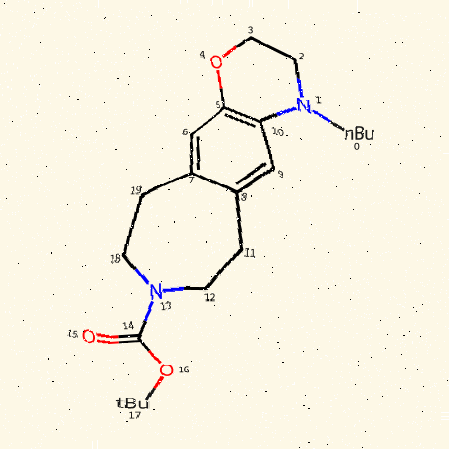 CCCCN1CCOc2cc3c(cc21)CCN(C(=O)OC(C)(C)C)CC3